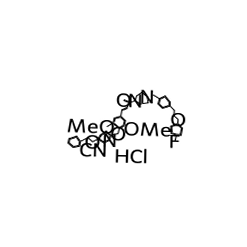 COc1cc(C=CC(=O)N2CCN(Cc3ccc(CCOc4ccc(F)cc4)cc3)CC2)cc(OC)c1Oc1ccc(OCc2ccccc2C#N)cn1.Cl